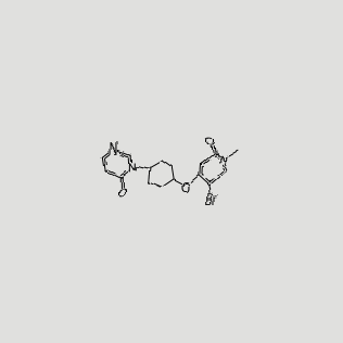 Cn1cc(Br)c(OC2CCC(n3cnccc3=O)CC2)cc1=O